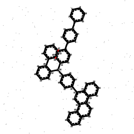 c1ccc(-c2ccc(-c3ccc(N(c4ccc(-c5cc6c7ccccc7ccc6c6ccccc56)cc4)c4ccccc4-c4ccccc4)cc3)cc2)cc1